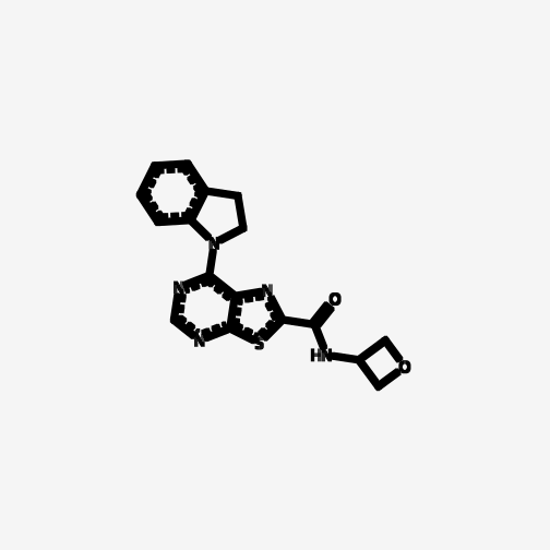 O=C(NC1COC1)c1nc2c(N3CCc4ccccc43)ncnc2s1